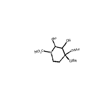 COC1(OC)CCN(C(=O)O)C(C(C)(C)C)C1O